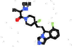 CC(C)C(NC(=O)O)C(=O)N1CCC(F)(CCC2c3c(F)cccc3-c3cncn32)CC1